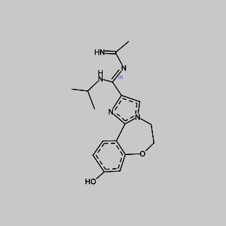 CC(=N)/N=C(\NC(C)C)c1cn2c(n1)-c1ccc(O)cc1OCC2